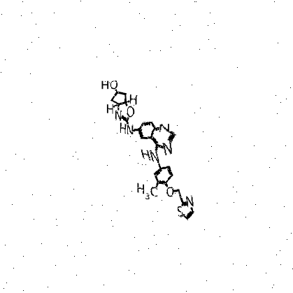 Cc1cc(Nc2ncnc3ccc(NC4=N[C@@H]5C[C@@H](O)C[C@@H]5O4)cc23)ccc1OCc1nccs1